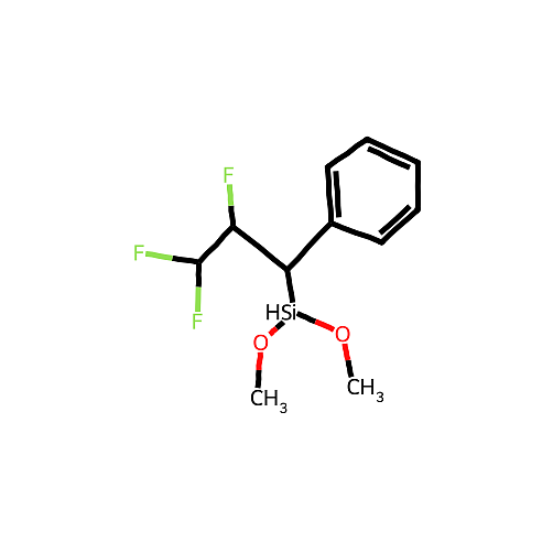 CO[SiH](OC)C(c1ccccc1)C(F)C(F)F